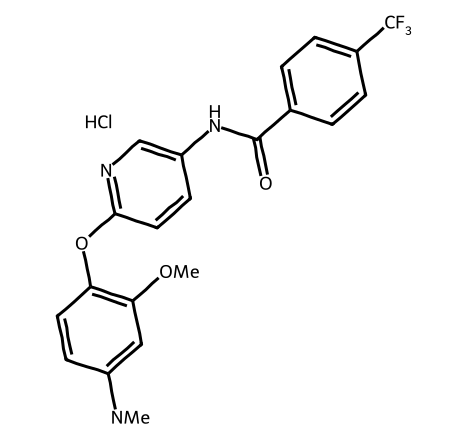 CNc1ccc(Oc2ccc(NC(=O)c3ccc(C(F)(F)F)cc3)cn2)c(OC)c1.Cl